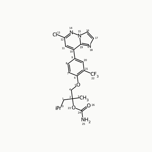 CC(C)CC(C)(COc1ccc(-c2cc(Cl)nn3ccnc23)cc1C(F)(F)F)OC(N)=O